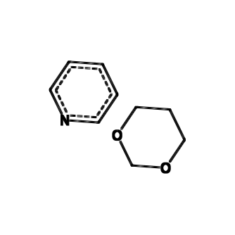 C1COCOC1.c1ccncc1